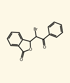 O=C1OC(C(Br)C(=O)c2ccccc2)c2ccccc21